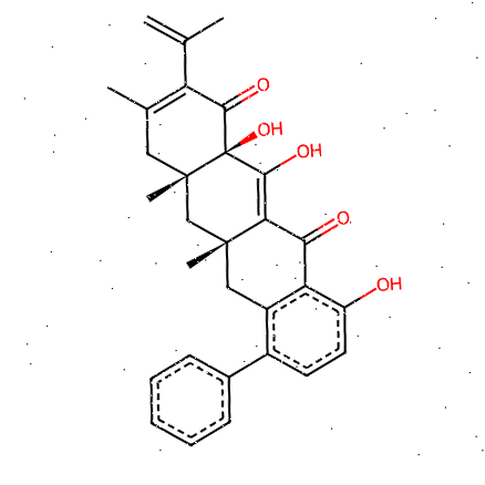 C=C(C)C1=C(C)C[C@@]2(C)C[C@@]3(C)Cc4c(-c5ccccc5)ccc(O)c4C(=O)C3=C(O)[C@@]2(O)C1=O